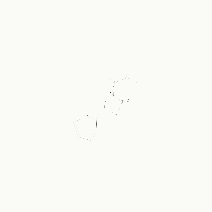 NC(=O)N1CC(c2ccccc2)CC1=O